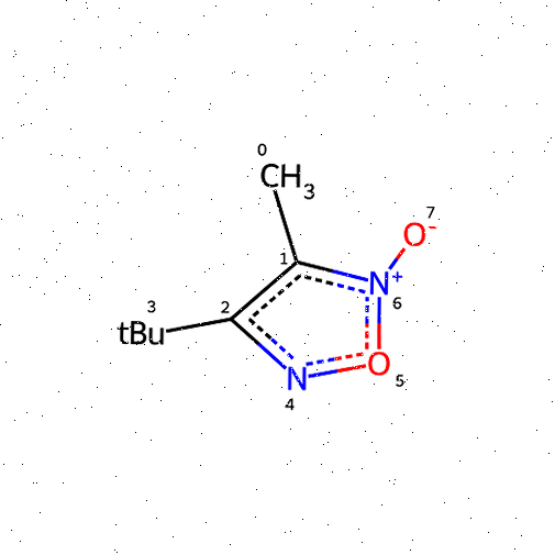 Cc1c(C(C)(C)C)no[n+]1[O-]